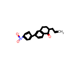 C=CCC1CCc2cc(-c3ccc([N+](=O)[O-])cc3)ccc2C1=O